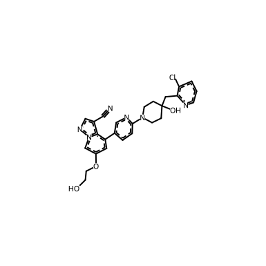 N#Cc1cnn2cc(OCCO)cc(-c3ccc(N4CCC(O)(Cc5ncccc5Cl)CC4)nc3)c12